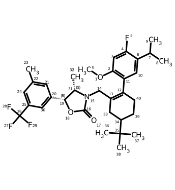 COc1cc(F)c(C(C)C)cc1C1=C(CN2C(=O)O[C@H](c3cc(C)cc(C(F)(F)F)c3)[C@@H]2C)CC(C(C)(C)C)CC1